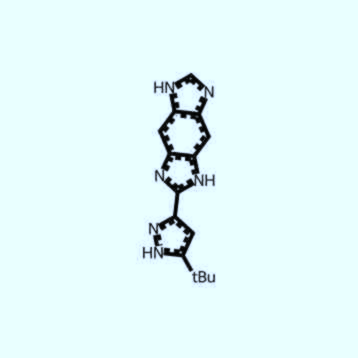 CC(C)(C)c1cc(-c2nc3cc4[nH]cnc4cc3[nH]2)n[nH]1